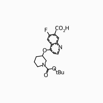 CC(C)(C)OC(=O)N1CCCC(Oc2ccnc3cc(C(=O)O)c(F)cc23)C1